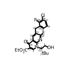 CCOC(=O)c1cn([C@H](CO)C(C)(C)C)c2nc(F)c(Cc3cccc(Cl)c3F)cc2c1=O